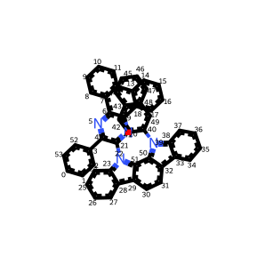 c1ccc(-c2nc3c4ccccc4c4ccccc4c3nc2-n2c3ccccc3c3ccc4c5ccccc5n(-c5ccc6ccccc6c5)c4c32)cc1